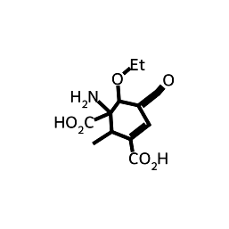 CCOC1C(=C=O)C=C(C(=O)O)C(C)C1(N)C(=O)O